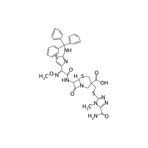 CON=C(C(=O)NC1C(=O)N2CC(CSc3nnc(C(N)=O)n3C)(C(=O)O)CS[C@H]12)c1csc(NC(c2ccccc2)(c2ccccc2)c2ccccc2)n1